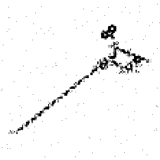 C=CCOC(=O)[C@H]1O[C@@H](Oc2ccc(CO)cc2CNC(=O)CCNC(=O)[C@H](CCCC(=O)N[C@H]2CO[C@H]3[C@@H]2OC[C@@H]3NC(=O)CCOCCOCCOCCOCCOCCOCCOCCOCCOCCOCCOCCOC)NC(=O)OCC2c3ccccc3-c3ccccc32)[C@H](OC(C)=O)[C@@H](OC(C)=O)[C@@H]1OC(C)=O